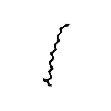 CCNCCOCCOCCOCCOC(C)C